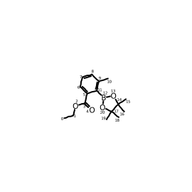 CCOC(=O)c1cccc(C)c1B1OC(C)(C)C(C)(C)O1